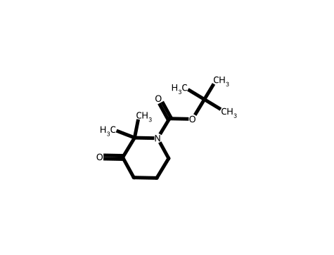 CC(C)(C)OC(=O)N1CCCC(=O)C1(C)C